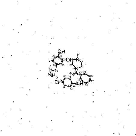 CN1CCN(C2=Nc3cc(Cl)ccc3Nc3ccccc32)CC1.NCCc1ccc(O)c(O)c1